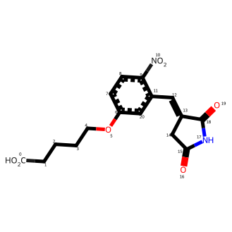 O=C(O)CCCCOc1ccc([N+](=O)[O-])c(/C=C2\CC(=O)NC2=O)c1